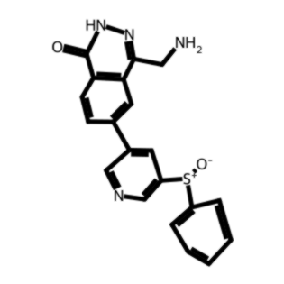 NCc1n[nH]c(=O)c2ccc(-c3cncc([S+]([O-])c4ccccc4)c3)cc12